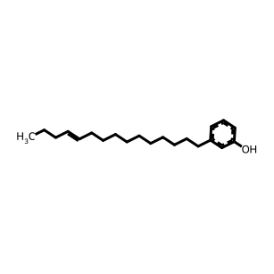 CCC/C=C/CCCCCCCCCCc1cccc(O)c1